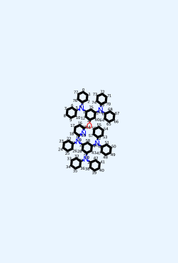 c1ccc(N(c2ccccc2)c2cc(Oc3cccc(N(c4ccccc4)c4cc(N(c5ccccc5)c5ccccc5)cc(N(c5ccccc5)c5ccccc5)c4)n3)cc(N(c3ccccc3)c3ccccc3)c2)cc1